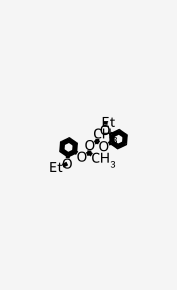 CCOc1ccccc1OC(C)OC(C)Oc1ccccc1OCC